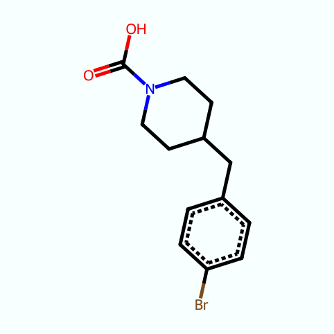 O=C(O)N1CCC(Cc2ccc(Br)cc2)CC1